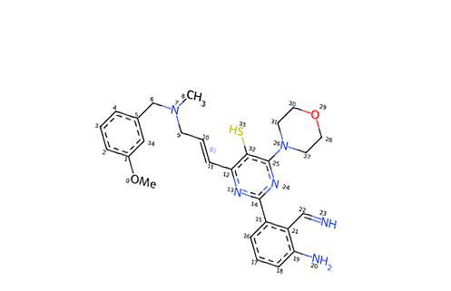 COc1cccc(CN(C)C/C=C/c2nc(-c3cccc(N)c3C=N)nc(N3CCOCC3)c2S)c1